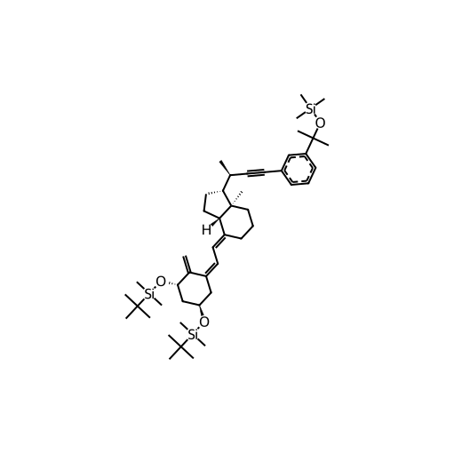 C=C1/C(=C\C=C2/CCC[C@]3(C)[C@@H]([C@@H](C)C#Cc4cccc(C(C)(C)O[Si](C)(C)C)c4)CC[C@@H]23)C[C@@H](O[Si](C)(C)C(C)(C)C)C[C@@H]1O[Si](C)(C)C(C)(C)C